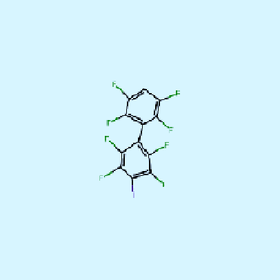 Fc1cc(F)c(F)c(-c2c(F)c(F)c(I)c(F)c2F)c1F